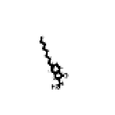 CCCCCCCCc1ccc2c(c1)C/C(=N\O)C2=O